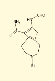 CCN1CCc2sc(NC=O)c(C(N)=O)c2CC1